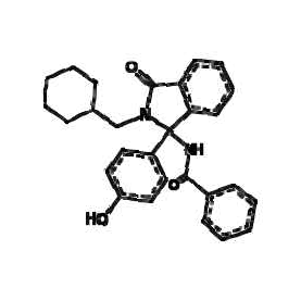 O=C(NC1(c2ccc(O)cc2)c2ccccc2C(=O)N1CC1CCCCC1)c1ccccc1